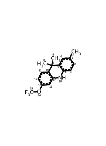 Cc1ccc2c(c1)C(C)(C)c1ccc(OC(F)(F)F)cc1N2